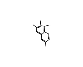 [CH2]c1c(C)c(C)cc2cc(C)ccc12